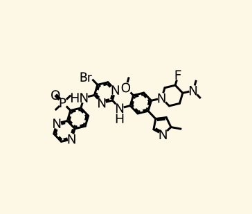 COc1cc(N2CCC(N(C)C)C(F)C2)c(C2=CC(C)N=C2)cc1Nc1ncc(Br)c(Nc2ccc3nccnc3c2P(C)(C)=O)n1